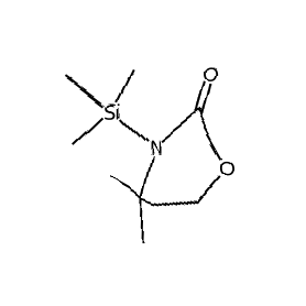 CC1(C)COC(=O)N1[Si](C)(C)C